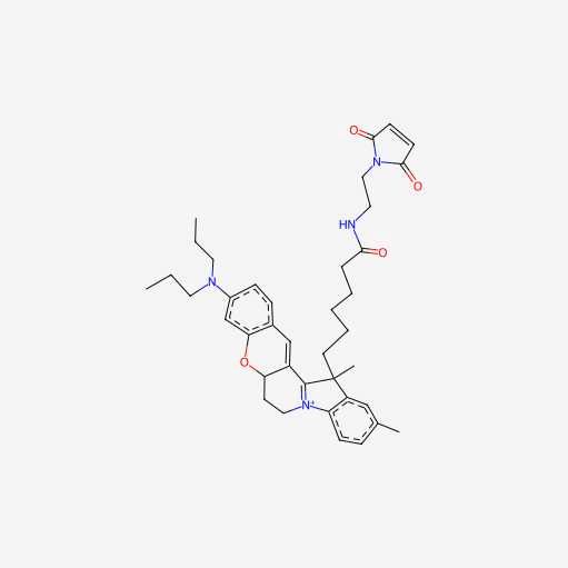 CCCN(CCC)c1ccc2c(c1)OC1CC[N+]3=C(C1=C2)C(C)(CCCCCC(=O)NCCN1C(=O)C=CC1=O)c1cc(C)ccc13